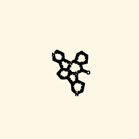 O=c1c2ccccc2n2c3ccncc3c3ccc4c5cnccc5n1c4c32